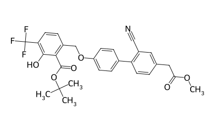 COC(=O)Cc1ccc(-c2ccc(OCc3ccc(C(F)(F)F)c(O)c3C(=O)OC(C)(C)C)cc2)c(C#N)c1